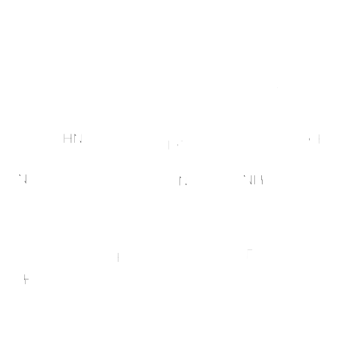 CC1C2CC(C2)C(C)C1Nc1nc(-c2c[nH]c3ncc(F)cc23)c(F)cc1F